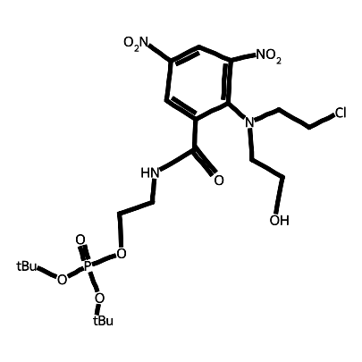 CC(C)(C)OP(=O)(OCCNC(=O)c1cc([N+](=O)[O-])cc([N+](=O)[O-])c1N(CCO)CCCl)OC(C)(C)C